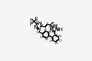 CCC=Cc1nc(C(C)(F)F)nn1Cc1ccc(-c2ccccc2-c2nnn[nH]2)cc1